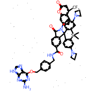 C[Si]1(C)c2cc(N3CCC3)ccc2C2(c3cc(C(=O)NCc4ccc(COc5nc(N)nc6[nH]cnc56)cc4)ccc3C(=O)N2c2ccc3c(C(F)(F)F)cc(=O)oc3c2)c2ccc(N3CCC3)cc21